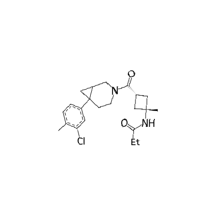 CCC(=O)N[C@]1(C)C[C@H](C(=O)N2CCC3(c4ccc(C)c(Cl)c4)CC3C2)C1